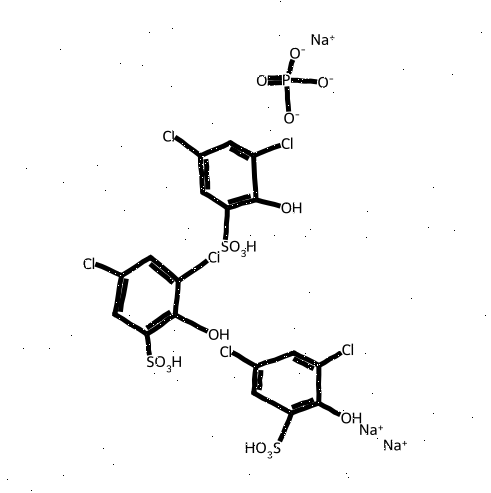 O=P([O-])([O-])[O-].O=S(=O)(O)c1cc(Cl)cc(Cl)c1O.O=S(=O)(O)c1cc(Cl)cc(Cl)c1O.O=S(=O)(O)c1cc(Cl)cc(Cl)c1O.[Na+].[Na+].[Na+]